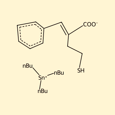 CCC[CH2][Sn+]([CH2]CCC)[CH2]CCC.O=C([O-])C(=Cc1ccccc1)CCS